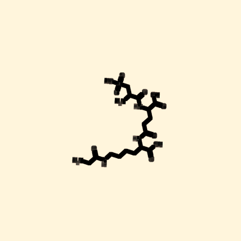 NCC(=O)NCCCCC(NC(=O)CCC(NC(=O)C(N)CS(=O)(=O)O)C(=O)O)C(=O)O